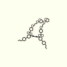 CCCC1CCC(C2CCC(C#CC#CC3(OC(=O)C4CCC(OCCCOC5CCCCO5)CC4)CCC(C4CCC(CCC)CC4)CC3)(OC(=O)C3CCC(OCCCOC4CCCCO4)CC3)CC2)CC1